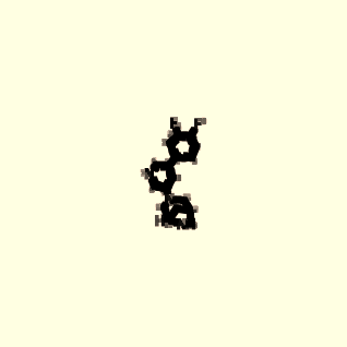 Fc1ccc(-c2cncc(N3CC4CN[C@@H](C4)C3)c2)cc1F